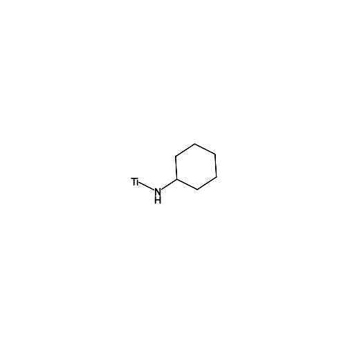 [Ti][NH]C1CCCCC1